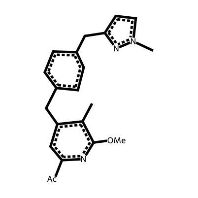 COc1nc(C(C)=O)cc(Cc2ccc(Cc3ccn(C)n3)cc2)c1C